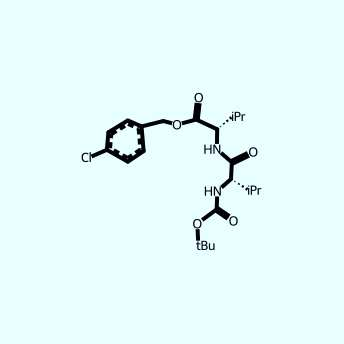 CC(C)[C@H](NC(=O)OC(C)(C)C)C(=O)N[C@H](C(=O)OCc1ccc(Cl)cc1)C(C)C